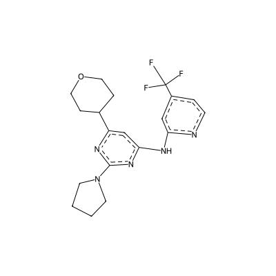 FC(F)(F)c1ccnc(Nc2cc(C3CCOCC3)nc(N3CCCC3)n2)c1